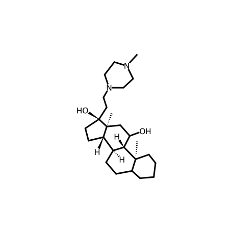 CN1CCN(CC[C@@]2(O)CC[C@H]3[C@@H]4CCC5CCCC[C@]5(C)[C@H]4C(O)C[C@@]32C)CC1